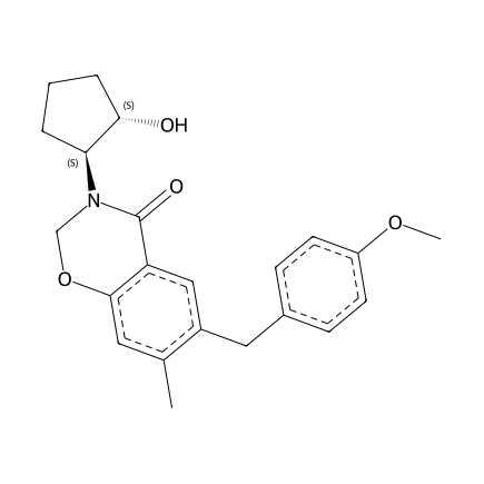 COc1ccc(Cc2cc3c(cc2C)OCN([C@H]2CCC[C@@H]2O)C3=O)cc1